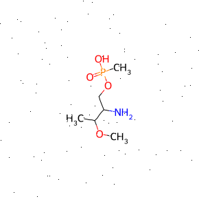 COC(C)C(N)COP(C)(=O)O